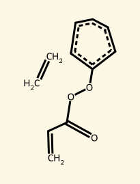 C=C.C=CC(=O)OOc1ccccc1